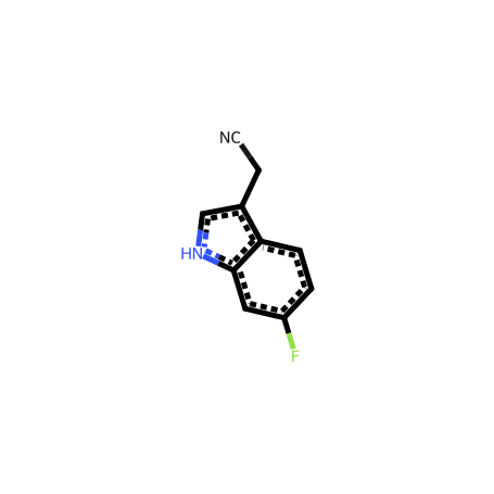 N#CCc1c[nH]c2cc(F)ccc12